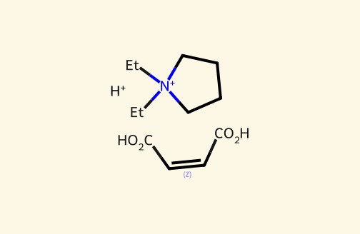 CC[N+]1(CC)CCCC1.O=C(O)/C=C\C(=O)O.[H+]